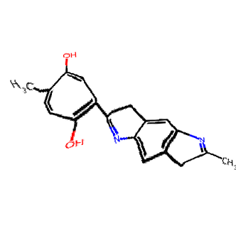 CC1=Nc2cc3c(cc2C1)N=C(c1cc(O)c(C)cc1O)C3